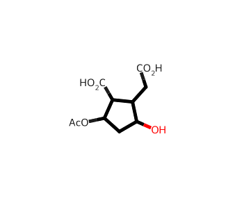 CC(=O)OC1CC(O)C(CC(=O)O)C1C(=O)O